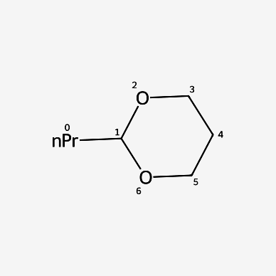 [CH2]CCC1OCCCO1